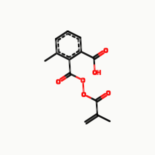 C=C(C)C(=O)OOC(=O)c1c(C)cccc1C(=O)O